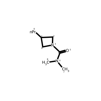 CCCC1CN(C(=O)N(C)C)C1